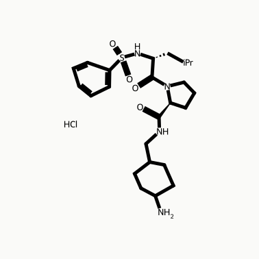 CC(C)C[C@@H](NS(=O)(=O)c1ccccc1)C(=O)N1CCC[C@H]1C(=O)NCC1CCC(N)CC1.Cl